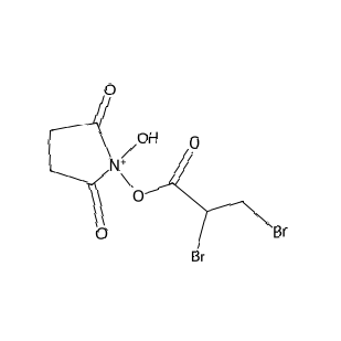 O=C(O[N+]1(O)C(=O)CCC1=O)C(Br)CBr